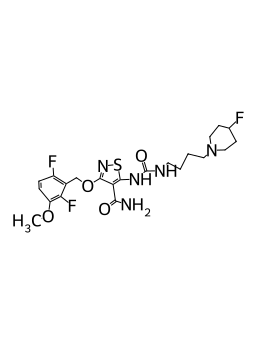 COc1ccc(F)c(COc2nsc(NC(=O)NCCCCN3CCC(F)CC3)c2C(N)=O)c1F